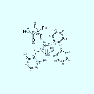 Fc1cccc(F)c1CC1=N[C@H](c2ccccc2)[C@H](c2ccccc2)N1.O=C(O)C(F)(F)F